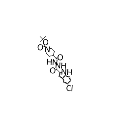 CC(C)(C)OC(=O)N1CCC(C(=O)NNC(=O)c2cc3cc(Cl)ccc3[nH]2)CC1